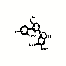 COc1cc2c(cc1OC)N(c1ccc(CO)c(-c3ccc(F)cc3OC)n1)CN2